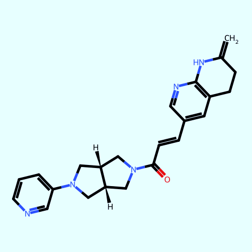 C=C1CCc2cc(/C=C/C(=O)N3C[C@@H]4CN(c5cccnc5)C[C@@H]4C3)cnc2N1